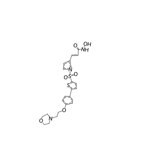 O=C(C=Cc1ccn(S(=O)(=O)c2ccc(-c3ccc(OCCN4CCOCC4)cc3)s2)c1)NO